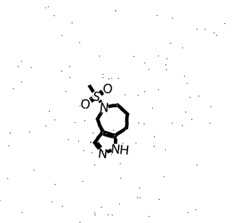 CS(=O)(=O)N1CCCc2[nH]n[c]c2C1